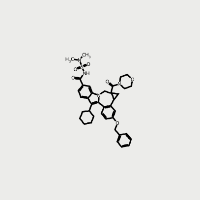 CN(C)S(=O)(=O)NC(=O)c1ccc2c(C3CCCCC3)c3n(c2c1)CC1(C(=O)N2CCOCC2)CC1c1cc(OCc2ccccc2)ccc1-3